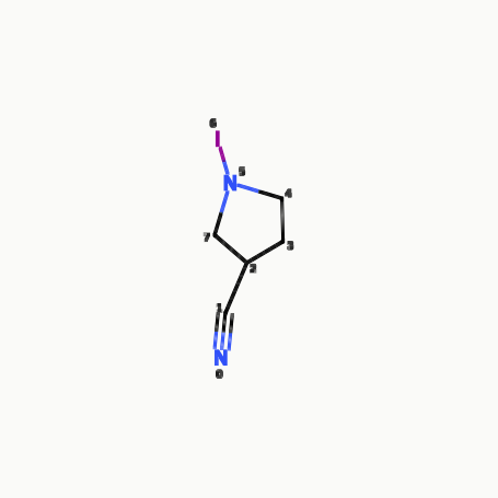 N#CC1CCN(I)C1